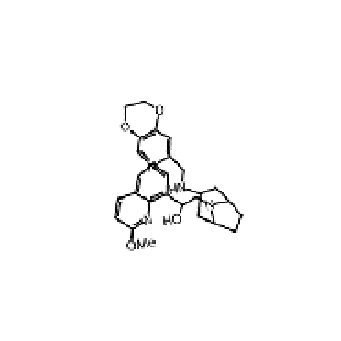 COc1ccc2cccc(C(O)CN3C4CCC3CC(NCc3cc5c(cn3)OCCO5)C4)c2n1